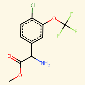 COC(=O)C(N)c1ccc(Cl)c(OC(F)(F)F)c1